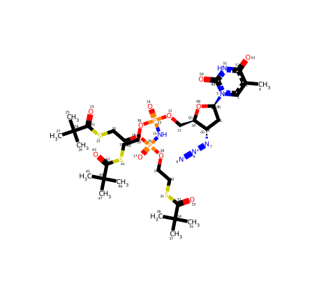 Cc1cn([C@H]2C[C@H](N=[N+]=[N-])[C@@H](COP(=O)(NP(=O)(OCCSC(=O)C(C)(C)C)OCCSC(=O)C(C)(C)C)OCCSC(=O)C(C)(C)C)O2)c(=O)[nH]c1=O